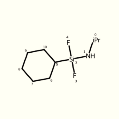 CC(C)N[Si](F)(F)C1CCCCC1